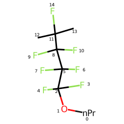 CCCOC(F)(F)C(F)(F)C(F)(F)C(C)(C)F